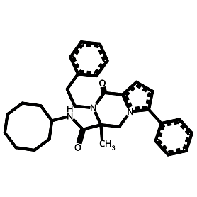 CC1(C(=O)NC2CCCCCCC2)Cn2c(ccc2-c2ccccc2)C(=O)N1CCc1ccccc1